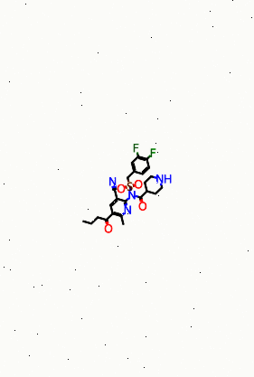 CCCC(=O)c1cc(C#N)c(N(C(=O)C2CCNCC2)S(=O)(=O)Cc2ccc(F)c(F)c2)nc1C